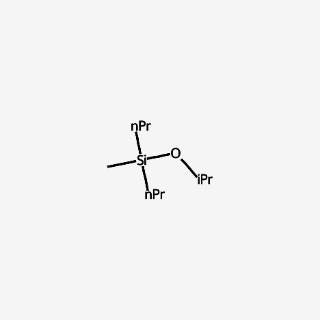 CCC[Si](C)(CCC)OC(C)C